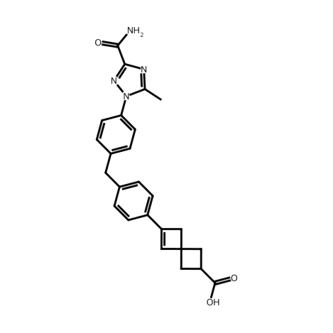 Cc1nc(C(N)=O)nn1-c1ccc(Cc2ccc(C3=CC4(C3)CC(C(=O)O)C4)cc2)cc1